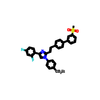 CCOC(=O)c1ccc(-n2cc(-c3ccc(F)cc3F)nc2C=Cc2ccc(-c3cccc(S(C)(=O)=O)c3)cc2)cc1